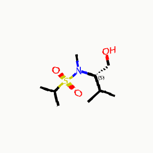 CC(C)[C@@H](CO)N(C)S(=O)(=O)C(C)C